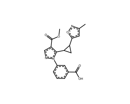 COC(=O)c1cnn(-c2cccc(C(=O)O)c2)c1C1CC1c1cc(C)no1